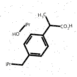 CC(C)Cc1ccc(C(C)C(=O)O)cc1.CC(C)O